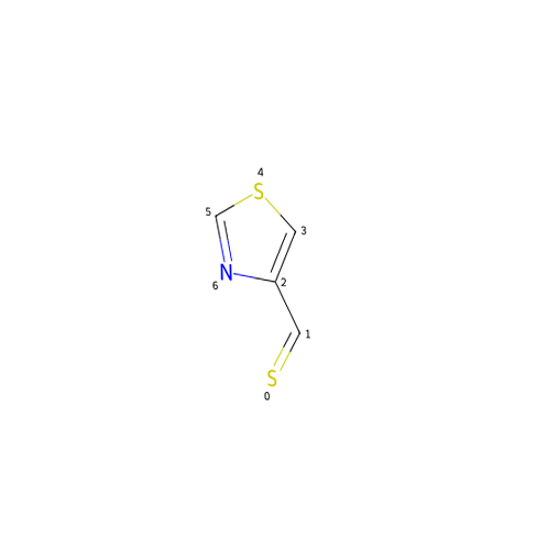 S=Cc1cscn1